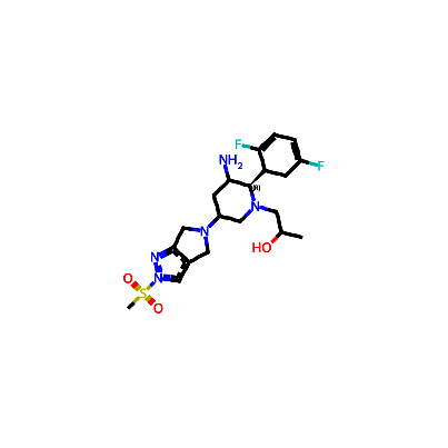 CC(O)CN1CC(N2Cc3cn(S(C)(=O)=O)nc3C2)CC(N)[C@H]1C1CC(F)=CC=C1F